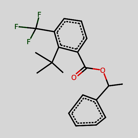 CC(OC(=O)c1cccc(C(F)(F)F)c1C(C)(C)C)c1ccccc1